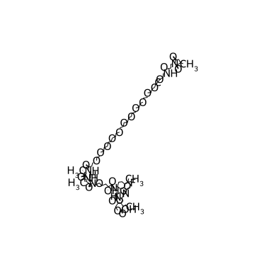 CC[C@@]1(O)C(=O)OCc2c1cc1n(c2=O)Cc2c-1nc1cc(F)c(C)c3c1c2[C@@H](NC(=O)[C@H](O)CCOCNC(=O)[C@H](C)NC(=O)[C@H](C)NC(=O)CCOCCOCCOCCOCCOCCOCCOCCOCCOCCOCCOCCOCCNC(=O)CCN1C(=O)CC(C)C1=O)CC3